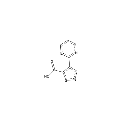 O=C(O)c1sncc1-c1ncccn1